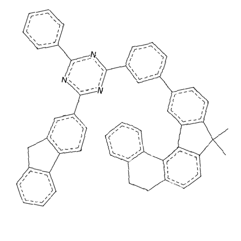 CC1(C)c2ccc(-c3cccc(-c4nc(-c5ccccc5)nc(-c5ccc6c(c5)Cc5ccccc5-6)n4)c3)cc2-c2c1ccc1c2-c2ccccc2CC1